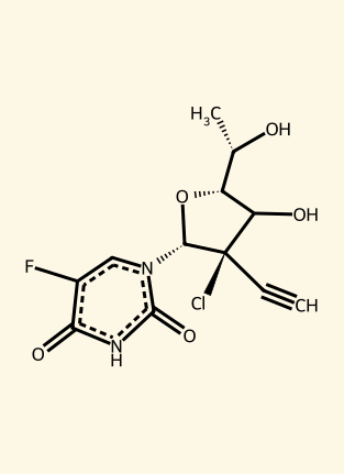 C#C[C@@]1(Cl)C(O)[C@@H]([C@H](C)O)O[C@H]1n1cc(F)c(=O)[nH]c1=O